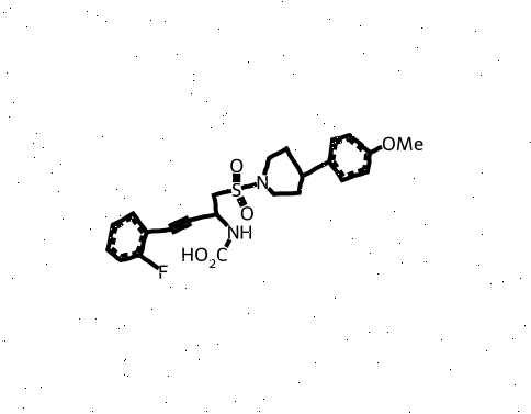 COc1ccc(C2CCN(S(=O)(=O)CC(C#Cc3ccccc3F)NC(=O)O)CC2)cc1